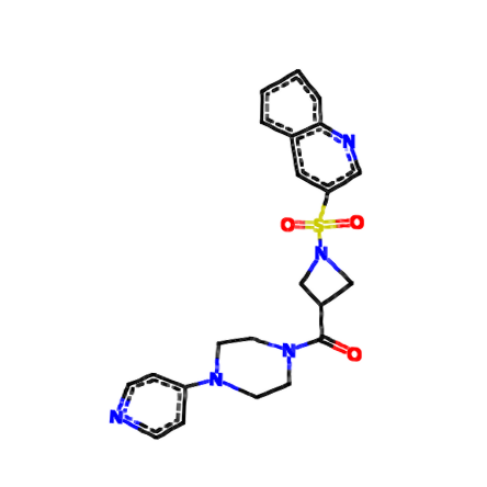 O=C(C1CN(S(=O)(=O)c2cnc3ccccc3c2)C1)N1CCN(c2ccncc2)CC1